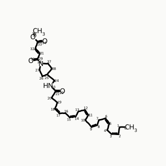 CC/C=C\C/C=C\C/C=C\C/C=C\C/C=C\C/C=C\CCC(=O)NCC1CCN(C(=O)/C=C/C(=O)OC)CC1